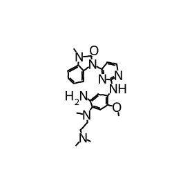 COc1cc(N(C)CCN(C)C)c(N)cc1Nc1nccc(-n2c(=O)n(C)c3ccccc32)n1